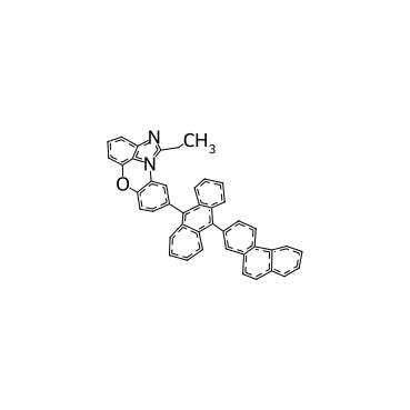 CCc1nc2cccc3c2n1-c1cc(-c2c4ccccc4c(-c4ccc5c(ccc6ccccc65)c4)c4ccccc24)ccc1O3